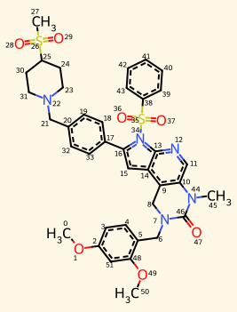 COc1ccc(CN2Cc3c(cnc4c3cc(-c3ccc(CN5CCC(S(C)(=O)=O)CC5)cc3)n4S(=O)(=O)c3ccccc3)N(C)C2=O)c(OC)c1